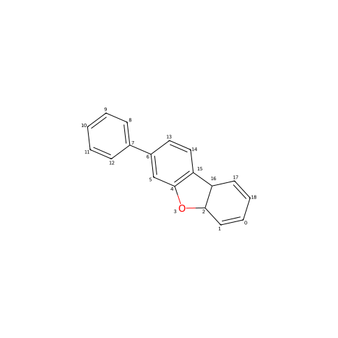 C1=CC2Oc3cc(-c4ccccc4)ccc3C2C=C1